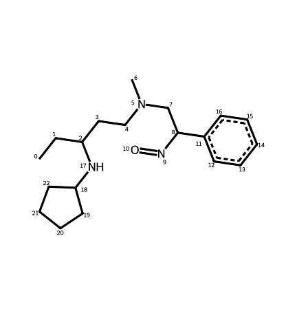 CCC(CCN(C)CC(N=O)c1ccccc1)NC1CCCC1